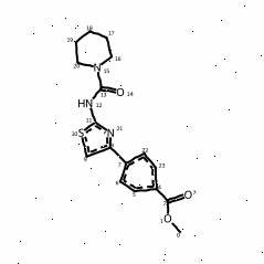 COC(=O)c1ccc(-c2csc(NC(=O)N3CCCCC3)n2)cc1